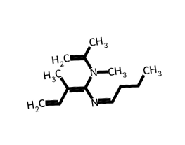 C=C/C(C)=C(\N=C/CCC)N(C)C(=C)C